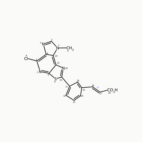 Cn1cnc2c(Cl)nc3sc(-c4cccc(/C=C/C(=O)O)c4)nc3c21